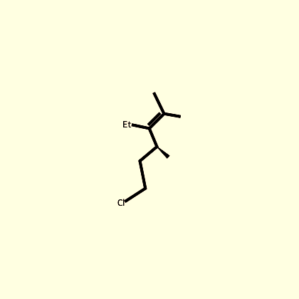 CCC(=C(C)C)[C@@H](C)CCCl